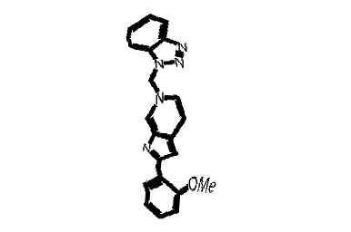 COc1ccccc1-c1cc2ccn(Cn3nnc4ccccc43)cc-2n1